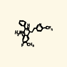 Cc1cc(C(CCc2ccc(C(F)(F)F)nc2)NC(C(N)=O)c2ccccc2)ccc1F